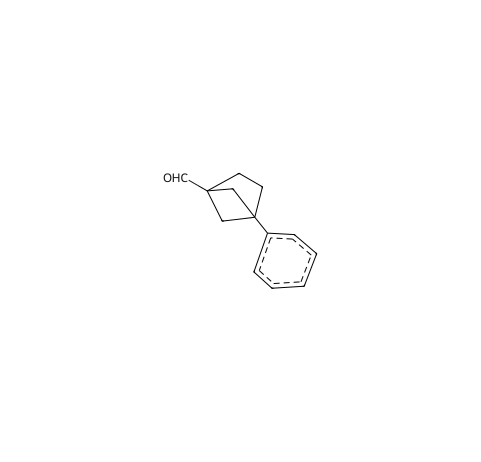 O=CC12CCC(c3ccccc3)(C1)C2